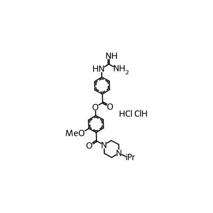 COc1cc(OC(=O)c2ccc(NC(=N)N)cc2)ccc1C(=O)N1CCN(C(C)C)CC1.Cl.Cl